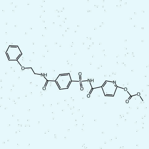 COC(=O)Oc1ccc(C(=O)NS(=O)(=O)c2ccc(C(=O)NCCOc3ccccc3)cc2)cn1